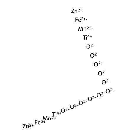 [Fe+3].[Fe+3].[Mn+2].[Mn+2].[O-2].[O-2].[O-2].[O-2].[O-2].[O-2].[O-2].[O-2].[O-2].[O-2].[O-2].[Ti+4].[Ti+4].[Zn+2].[Zn+2]